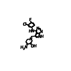 N[C@@H]1CCN(Cc2c[nH]c3ncnc(Nc4ccc(F)c(Cl)c4)c23)C[C@H]1O